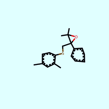 Cc1ccc(SCC2(c3ccccc3)OC2(C)C)c(C)c1